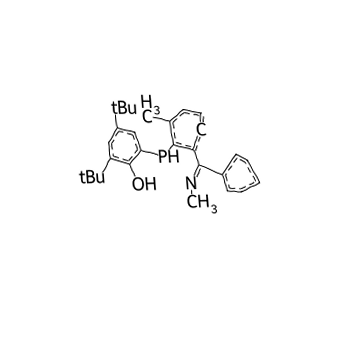 C/N=C(\c1ccccc1)c1cccc(C)c1Pc1cc(C(C)(C)C)cc(C(C)(C)C)c1O